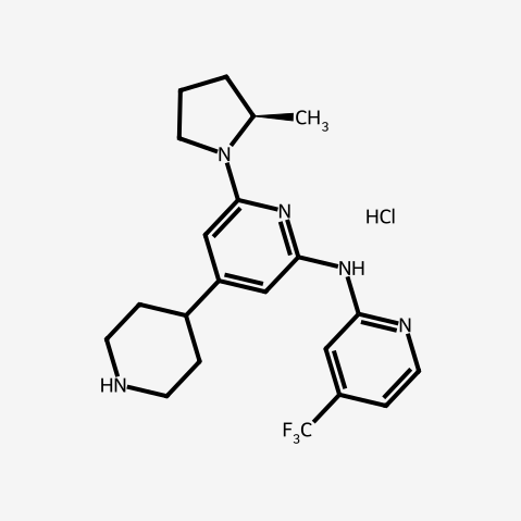 C[C@@H]1CCCN1c1cc(C2CCNCC2)cc(Nc2cc(C(F)(F)F)ccn2)n1.Cl